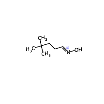 CC(C)(C)CC/C=N/O